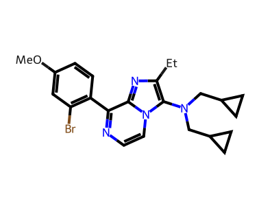 CCc1nc2c(-c3ccc(OC)cc3Br)nccn2c1N(CC1CC1)CC1CC1